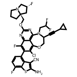 N#Cc1c(N)sc2c(F)ccc(-c3c(Cl)c4c5c(nc(OC[C@@]67CCCN6C[C@H](F)C7)nc5c3F)N(CC(F)F)C(C#CC3CC3)CO4)c12